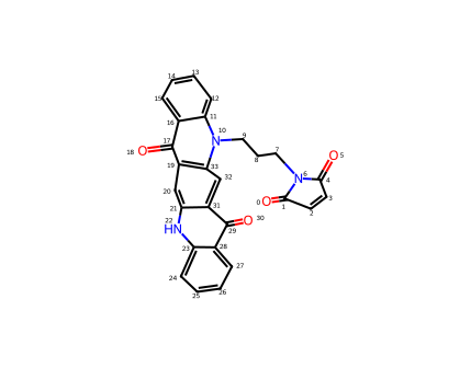 O=C1C=CC(=O)N1CCCn1c2ccccc2c(=O)c2cc3[nH]c4ccccc4c(=O)c3cc21